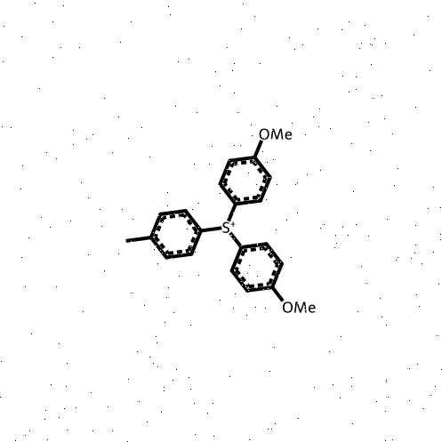 COc1ccc([S+](c2ccc(C)cc2)c2ccc(OC)cc2)cc1